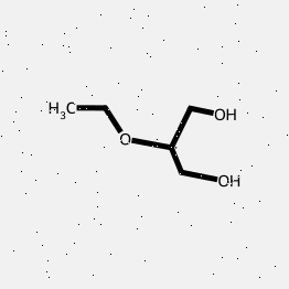 CCO[C](CO)CO